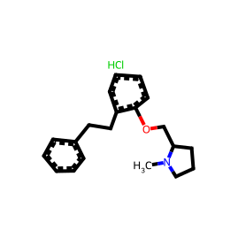 CN1CCCC1COc1ccccc1CCc1ccccc1.Cl